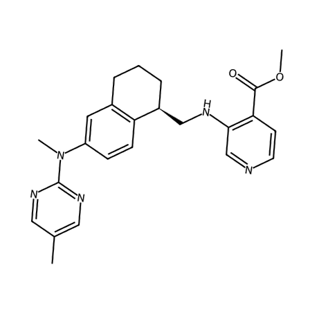 COC(=O)c1ccncc1NC[C@@H]1CCCc2cc(N(C)c3ncc(C)cn3)ccc21